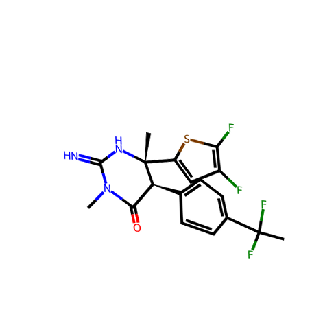 CN1C(=N)N[C@](C)(c2cc(F)c(F)s2)[C@@H](c2ccc(C(C)(F)F)cc2)C1=O